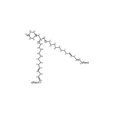 CCCCCC=CCC=CCCCCCCCCOC[C@H](CN1CCN(C)CC1)OCCCCCCCCC=CCC=CCCCCC